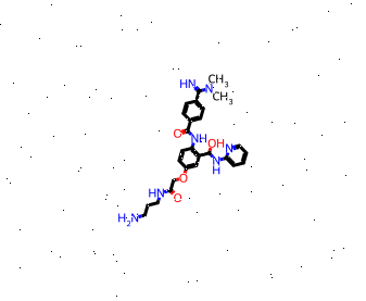 CN(C)C(=N)c1ccc(C(=O)Nc2ccc(OCC(=O)NCCCN)cc2C(O)Nc2ccccn2)cc1